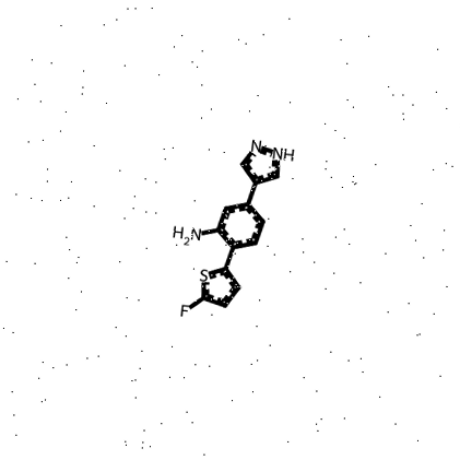 Nc1cc(-c2cn[nH]c2)ccc1-c1ccc(F)s1